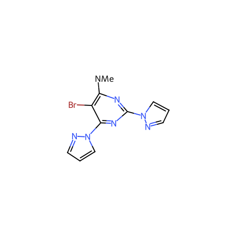 CNc1nc(-n2cccn2)nc(-n2cccn2)c1Br